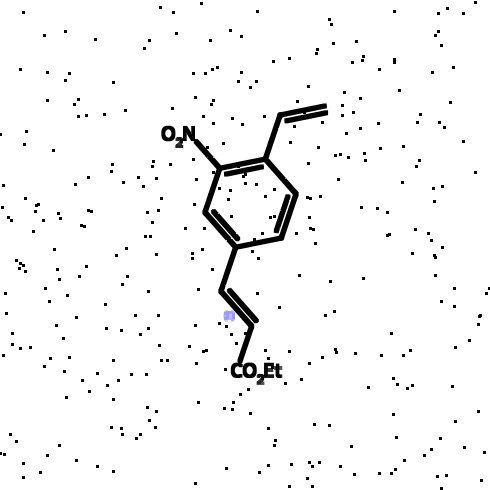 C=Cc1ccc(/C=C/C(=O)OCC)cc1[N+](=O)[O-]